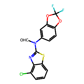 O=CN(c1ccc2c(c1)OC(F)(F)O2)c1nc2c(Cl)cccc2s1